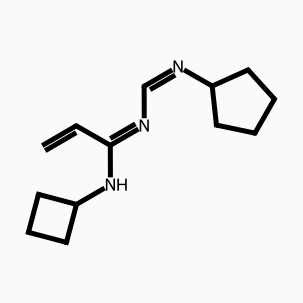 C=C/C(=N\C=N/C1CCCC1)NC1CCC1